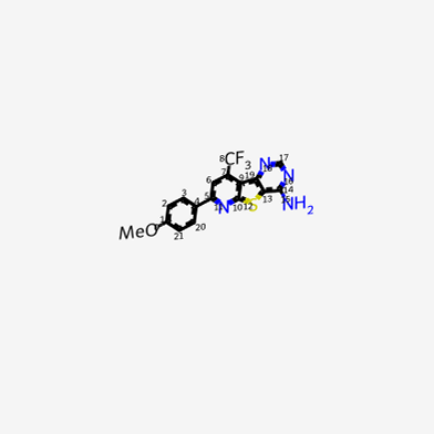 COc1ccc(-c2cc(C(F)(F)F)c3c(n2)sc2c(N)ncnc23)cc1